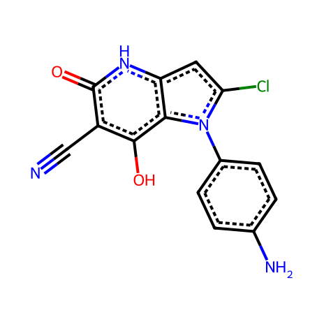 N#Cc1c(O)c2c(cc(Cl)n2-c2ccc(N)cc2)[nH]c1=O